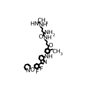 CCc1cc(NC2=CC=CC3C(c4ccc(OC5=NC=CCC=C5)c(F)c4F)=CN=C23)ccc1C(=O)CCCNC(=O)[C@H](N)CCCNC(C)=N